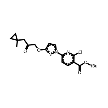 CC1(CC(=O)COc2ccn(-c3ccc(C(=O)OC(C)(C)C)c(Cl)n3)n2)CC1